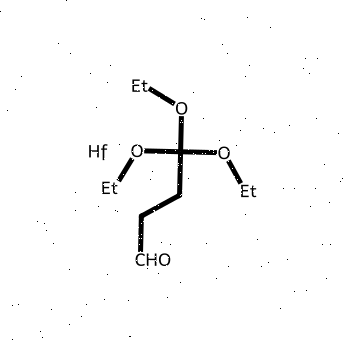 CCOC(CCC=O)(OCC)OCC.[Hf]